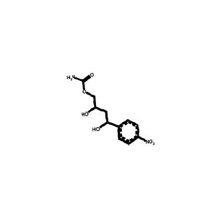 NC(=O)OCC(O)CC(O)c1ccc([N+](=O)[O-])cc1